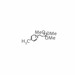 CO[Si](CCN1C=CC(C)=CC1)(OC)OC